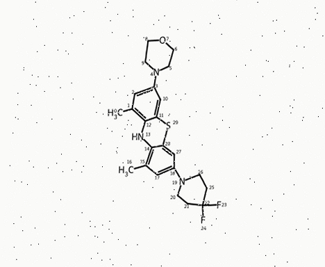 Cc1cc(N2CCOCC2)cc2c1Nc1c(C)cc(N3CCC(F)(F)CC3)cc1S2